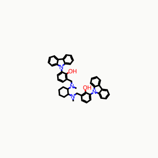 CN(Cc1cccc(-n2c3ccccc3c3ccccc32)c1O)C1CCCCC1N(C)Cc1cccc(-n2c3ccccc3c3ccccc32)c1O